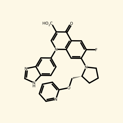 O=C(O)c1cn(-c2ccc3[nH]cnc3c2)c2cc(N3CCC[C@@H]3COc3ccccn3)c(F)cc2c1=O